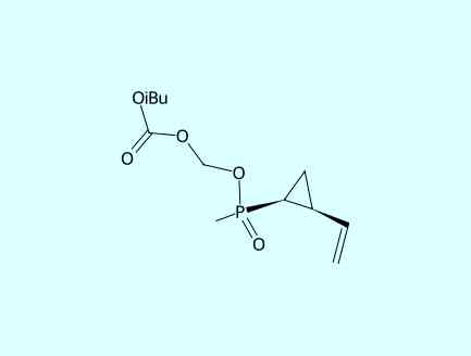 C=C[C@@H]1C[C@@H]1P(C)(=O)OCOC(=O)OCC(C)C